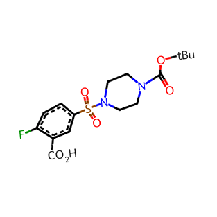 CC(C)(C)OC(=O)N1CCN(S(=O)(=O)c2ccc(F)c(C(=O)O)c2)CC1